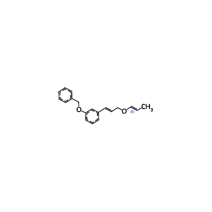 C/C=C/OCC=Cc1cccc(OCc2ccccc2)c1